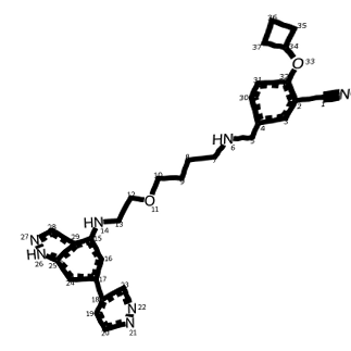 N#Cc1cc(CNCCCCOCCNc2cc(-c3ccnnc3)cc3[nH]ncc23)ccc1OC1CCC1